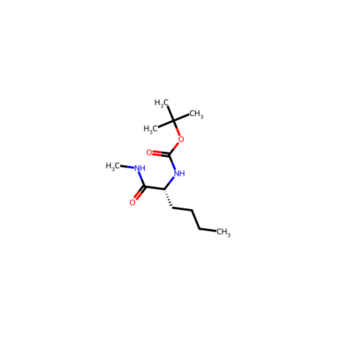 CCCC[C@@H](NC(=O)OC(C)(C)C)C(=O)NC